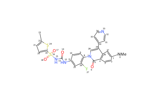 CNc1ccc2c(=O)n(-c3ccc(NC(=O)NS(=O)(=O)c4ccc(C)s4)cc3F)cc(-c3ccncc3)c2c1